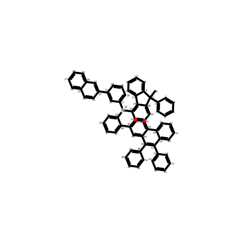 CC1(c2ccccc2)c2ccccc2-c2c(N(c3cccc(-c4ccc5ccccc5c4)c3)c3ccccc3-c3ccc4c(c3)c(-c3ccccc3)c(-c3ccccc3)c3ccccc34)cccc21